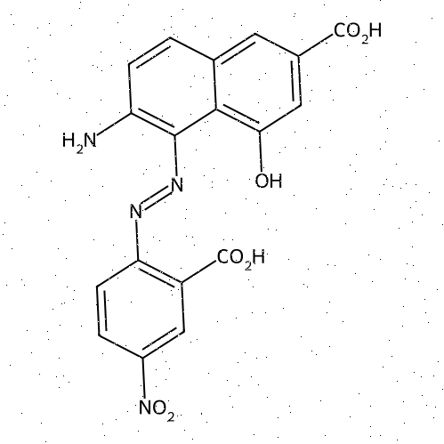 Nc1ccc2cc(C(=O)O)cc(O)c2c1N=Nc1ccc([N+](=O)[O-])cc1C(=O)O